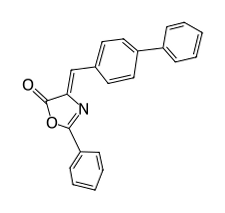 O=C1OC(c2ccccc2)=N/C1=C\c1ccc(-c2ccccc2)cc1